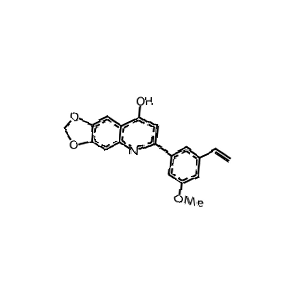 C=Cc1cc(OC)cc(-c2cc(O)c3cc4c(cc3n2)OCO4)c1